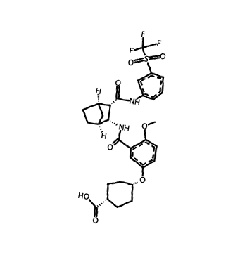 COc1ccc(O[C@H]2CC[C@@H](C(=O)O)CC2)cc1C(=O)N[C@@H]1[C@H]2CC[C@H](C2)[C@@H]1C(=O)Nc1cccc(S(=O)(=O)C(F)(F)F)c1